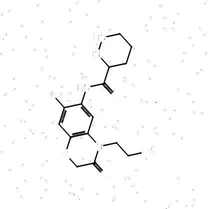 CCCN1C(=O)COc2cc(F)c(NC(=S)C3CCCNN3)cc21